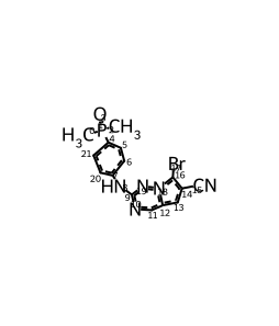 CP(C)(=O)c1ccc(Nc2ncc3cc(C#N)c(Br)n3n2)cc1